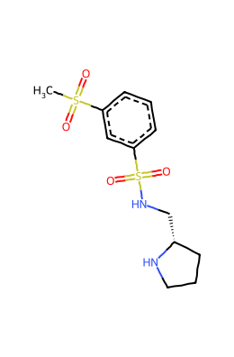 CS(=O)(=O)c1cccc(S(=O)(=O)NC[C@@H]2CCCN2)c1